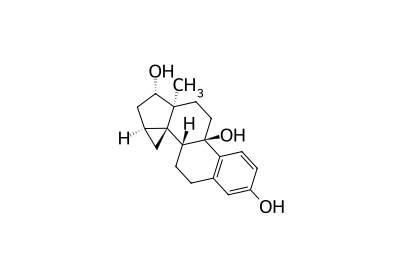 C[C@]12CC[C@]3(O)c4ccc(O)cc4CC[C@@H]3[C@@]13C[C@H]3C[C@@H]2O